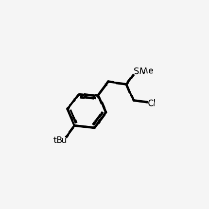 CSC(CCl)Cc1ccc(C(C)(C)C)cc1